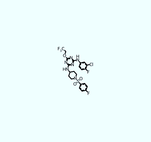 O=S(=O)(c1ccc(F)cc1)N1CCC(Nc2nc(Nc3ccc(F)c(Cl)c3)nc(OCC(F)(F)F)n2)CC1